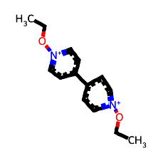 CCO[n+]1ccc(-c2cc[n+](OCC)cc2)cc1